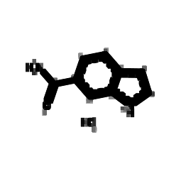 Cl.NC(=O)c1ccc2cc[nH]c2c1